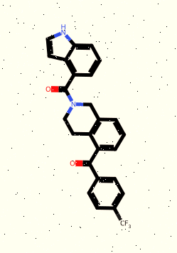 O=C(c1ccc(C(F)(F)F)cc1)c1cccc2c1CCN(C(=O)c1cccc3[nH]ccc13)C2